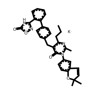 CCCc1nc(C)n(-c2ccc3c(c2)C=CC(C)(C)O3)c(=O)c1Cc1ccc(-c2ccccc2-c2noc(=O)[nH]2)cc1.[K]